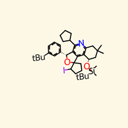 CC1(C)Cc2nc(C3CCCC3)c3c(c2[C@@H](O[Si](C)(C)C(C)(C)C)C1)C1(CCCC1I)O[C@@H]3c1cccc(C(C)(C)C)c1